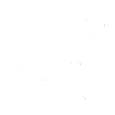 N#Cc1cn(-c2ccc(C(=O)O)cc2)c2ccc(OCc3cccs3)cc12